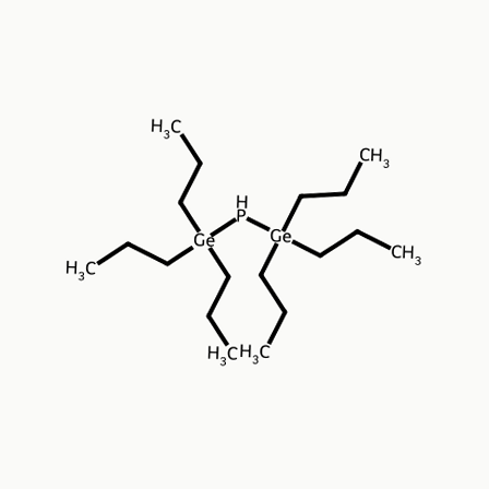 CC[CH2][Ge]([CH2]CC)([CH2]CC)[PH][Ge]([CH2]CC)([CH2]CC)[CH2]CC